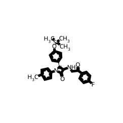 Cc1ccc(N2C(=O)C(NCC(=O)c3ccc(F)cc3)[C@H]2c2ccc(O[Si](C)(C)C)cc2)cc1